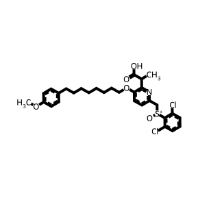 COc1ccc(CCCCCCCCOc2ccc(C[S+]([O-])c3c(Cl)cccc3Cl)nc2C(C)C(=O)O)cc1